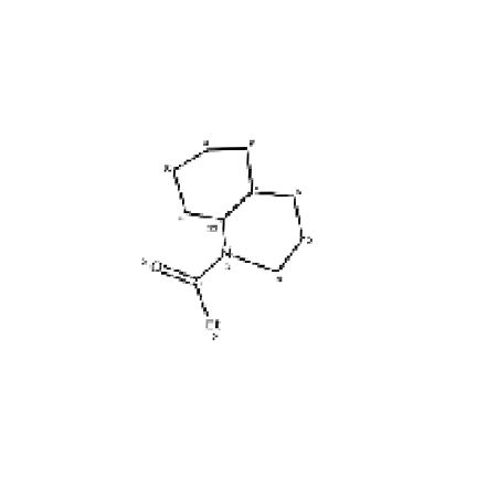 CCC(=O)N1CCCC2CCCCC21